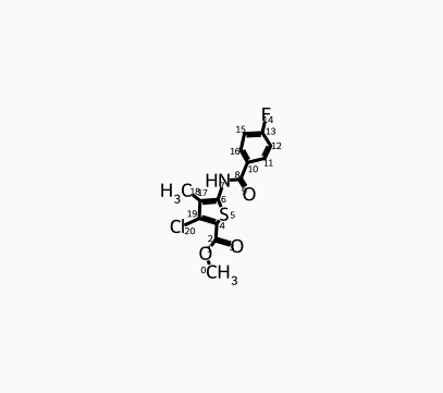 COC(=O)c1sc(NC(=O)c2ccc(F)cc2)c(C)c1Cl